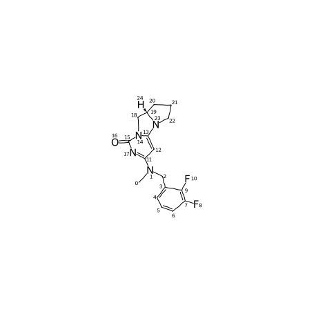 CN(Cc1cccc(F)c1F)c1cc2n(c(=O)n1)C[C@@H]1CCCN21